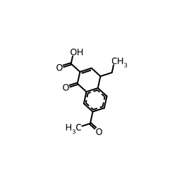 CCC1C=C(C(=O)O)C(=O)c2cc(C(C)=O)ccc21